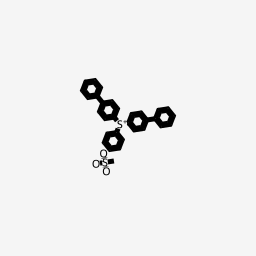 CS(=O)(=O)[O-].c1ccc(-c2ccc([S+](c3ccccc3)c3ccc(-c4ccccc4)cc3)cc2)cc1